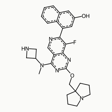 CN(c1nc(OCC23CCCN2CCC3)nc2c(F)c(-c3cc(O)cc4ccccc34)ncc12)C1CNC1